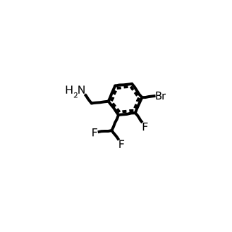 NCc1ccc(Br)c(F)c1C(F)F